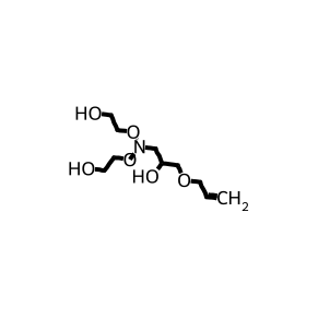 C=CCOCC(O)CN(OCCO)OCCO